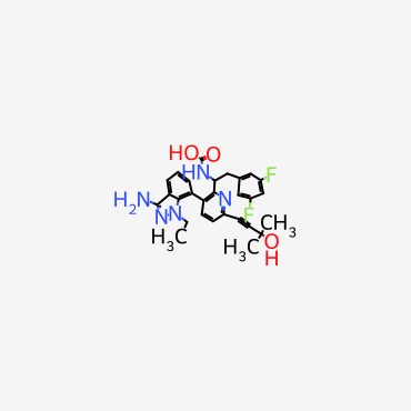 CCn1nc(N)c2cccc(-c3ccc(C#CC(C)(C)O)nc3C(Cc3cc(F)cc(F)c3)NC(=O)O)c21